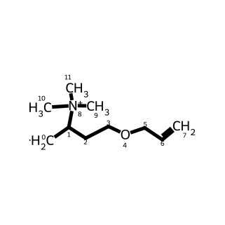 [CH2]C(CCOCC=C)[N+](C)(C)C